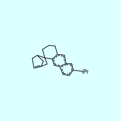 CC(C)c1ccc2cc3c(cc2c1)CCCC31CC2=CCC1C2